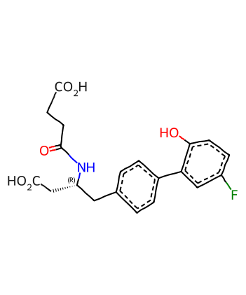 O=C(O)CCC(=O)N[C@@H](CC(=O)O)Cc1ccc(-c2cc(F)ccc2O)cc1